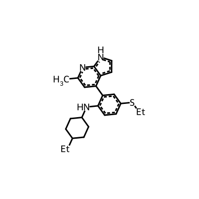 CCSc1ccc(NC2CCC(CC)CC2)c(-c2cc(C)nc3[nH]ccc23)c1